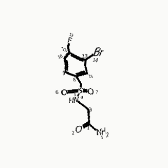 NC(=O)CNS(=O)(=O)c1ccc(F)c(Br)c1